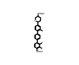 CCCCCCCC1CCC(c2ccc(-c3ccc(-c4ccc(CCCCC)c(F)c4F)cc3)c(F)c2)OC1